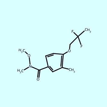 CON(C)C(=O)c1ccc(OCC(C)(F)F)c(C)c1